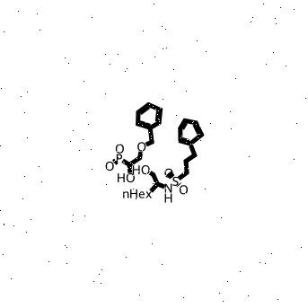 CCCCCCC(CO)NS(=O)(=O)CCCc1ccccc1.O=P(=O)C(O)COCc1ccccc1